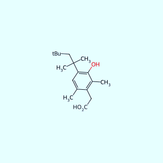 Cc1cc(C(C)(C)CC(C)(C)C)c(O)c(C)c1CC(=O)O